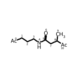 CC(=O)CCCNC(=O)CC(C)C(C)=O